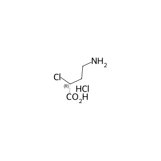 Cl.NCC[C@@H](Cl)C(=O)O